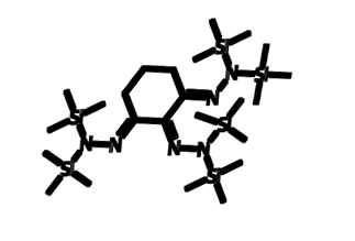 C[Si](C)(C)N(N=C1CCCC(=NN([Si](C)(C)C)[Si](C)(C)C)C1=NN([Si](C)(C)C)[Si](C)(C)C)[Si](C)(C)C